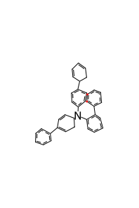 C1=CCC(c2ccc(N(c3ccccc3-c3ccccc3)C3C=CC(c4ccccc4)=CC3)cc2)C=C1